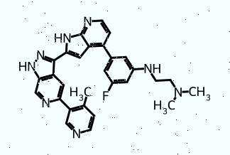 Cc1ccncc1-c1cc2c(-c3cc4c(-c5cc(F)cc(NCCN(C)C)c5)ccnc4[nH]3)n[nH]c2cn1